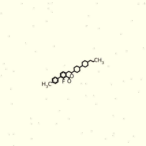 CCCC1CCC(C2CCC(C3Cc4ccc(-c5ccc(C)cc5)c(F)c4C(=O)O3)CC2)CC1